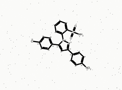 NS(=O)(=O)c1ccccc1-n1nc(-c2ccc([N+](=O)[O-])cc2)cc1-c1ccc(Cl)cc1